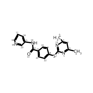 Cc1cc(C)nc(Sc2ccc(C(=O)Nc3cccnc3)cc2)n1